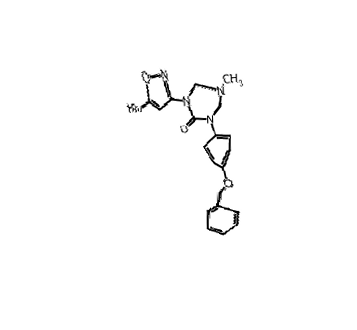 CN1CN(c2ccc(OCc3ccccc3)cc2)C(=O)N(c2cc(C(C)(C)C)on2)C1